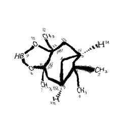 CC1(C)[C@H]2C[C@@H]1[C@]1(C)OBO[C@]1(C)C2